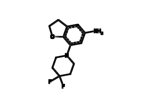 Nc1cc2c(c(N3CCC(F)(F)CC3)c1)OCC2